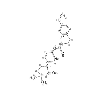 COc1ccc2c(c1)CN(C(=O)Oc1ccc(N3CCC(C)(C)CC3=O)cn1)CC2